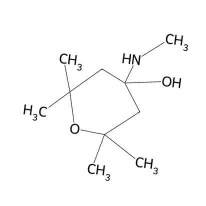 CNC1(O)CC(C)(C)OC(C)(C)C1